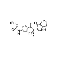 CC(C)(C)OC(=O)Nc1ccc(NC(=O)c2c[nH]c3ccccc3c2=O)c(C(F)(F)F)c1